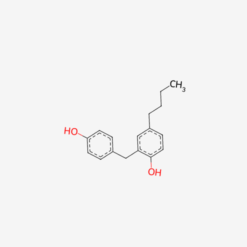 CCCCc1ccc(O)c(Cc2ccc(O)cc2)c1